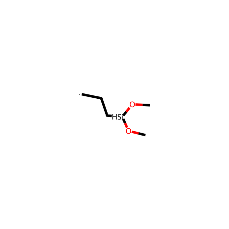 [CH2]CC[SiH](OC)OC